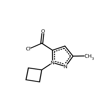 Cc1cc(C(=O)Cl)n(C2CCC2)n1